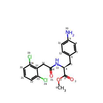 COC(=O)[C@H](Cc1ccc(N)cc1)NC(=O)Cc1c(Cl)cccc1Cl